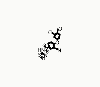 N#Cc1cc(S(=O)(=O)Nc2nncs2)ccc1Oc1ccc(C=O)c(Cl)c1